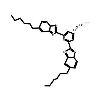 CCCCCCC1=CC2=NC(c3cccc(C4=NC5C=CC(CCCCCC)=CC5=N4)n3)=NC2C=C1.[Cl-].[Cl-].[Cl-].[Co+3]